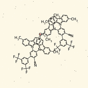 Cc1ccc2c(c1)c1cc(C)ccc1n2-c1cc(-c2cc(C(F)(F)F)cc(C(F)(F)F)c2)c(C#N)cc1-n1c2ccc(C)cc2c2cc(Cc3cc4c5ccc(C)cc5n(-c5cc(-c6cc(C(F)(F)F)cc(C(F)(F)F)c6)c(C#N)cc5-n5c6cc(C)ccc6c6ccc(C)cc65)c4cc3C)ccc21